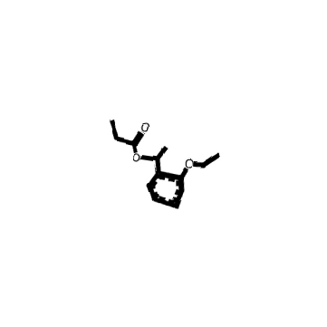 CCOc1ccccc1C(C)OC(=O)CC